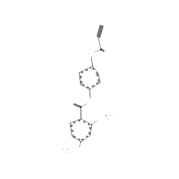 C#CC(=O)Oc1ccc(OC(=O)c2ccc(OC)cc2OC)cc1